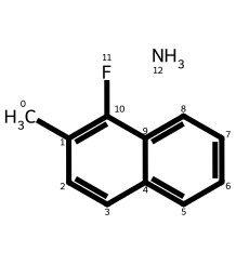 Cc1ccc2ccccc2c1F.N